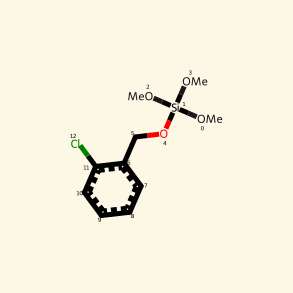 CO[Si](OC)(OC)OCc1ccccc1Cl